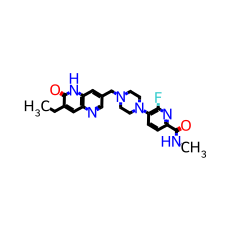 CCc1cc2ncc(CN3CCN(c4ccc(C(=O)NC)nc4F)CC3)cc2[nH]c1=O